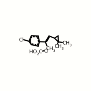 CC(=CC1CC1(C)C)c1ccc(Cl)cc1.O=C(O)Cl